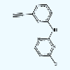 C#Cc1cccc(Nc2nccc(Cl)n2)c1